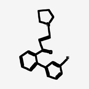 O=C(C=CN1CCCC1)c1ccccc1-c1cccc(F)c1